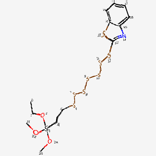 CCO[Si](CCSSSSSSSc1nc2ccccc2s1)(OC)OC